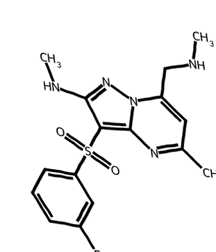 CNCc1cc(C)nc2c(S(=O)(=O)c3cccc(F)c3)c(NC)nn12